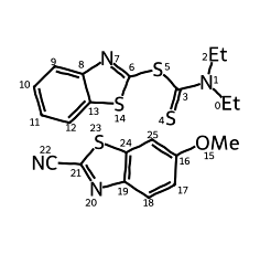 CCN(CC)C(=S)Sc1nc2ccccc2s1.COc1ccc2nc(C#N)sc2c1